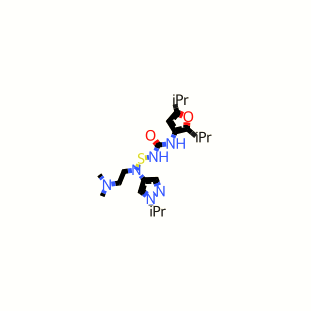 CC(C)c1cc(NC(=O)NSN(CCN(C)C)c2cnn(C(C)C)c2)c(C(C)C)o1